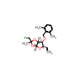 C=C[C@H]1O[C@@H]2OC(C)(CF)O[C@@H]2[C@H]1OCc1c(C)cccc1C